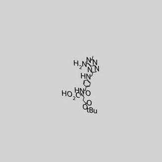 Cc1nc(N)c2nc(CNc3ccc(C(=O)N[C@@H](CCC(=O)OC(C)(C)C)C(=O)O)cc3)cnc2n1